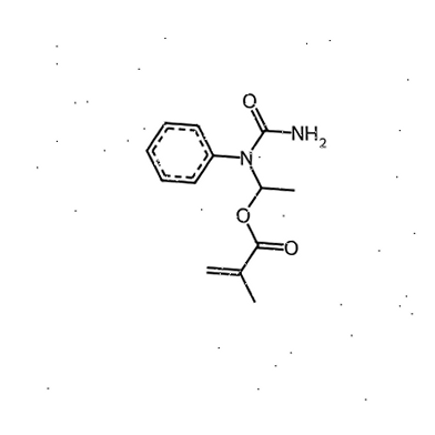 C=C(C)C(=O)OC(C)N(C(N)=O)c1ccccc1